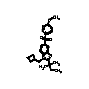 CCC(C)(C)c1nc2cc(S(=O)(=O)c3ccc(OC)nn3)ccc2n1CC1CCC1